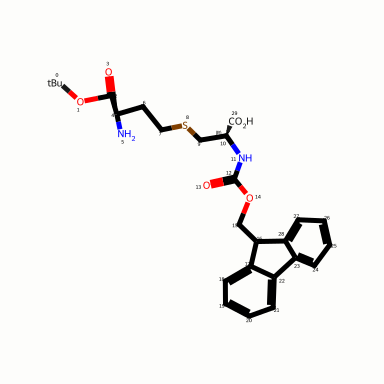 CC(C)(C)OC(=O)C(N)CCSC[C@H](NC(=O)OCC1c2ccccc2-c2ccccc21)C(=O)O